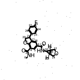 CNC(=O)c1cc(C(=O)NC2[C@H]3COC[C@@H]23)cc2c1OCC2c1ccc(F)cc1